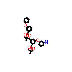 CN(C)c1cccc(Oc2cc(C3OC4(c5cccc(Oc6ccccc6)c5)OCC3(C)CO4)cc(C34OCC(C)(CO3)CO4)c2)c1